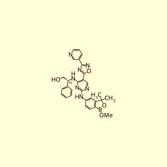 COB1OC(C)(C)c2cc(Nc3ncc(-c4nc(-c5cccnc5)no4)c(N[C@H](CO)c4ccccc4)n3)ccc21